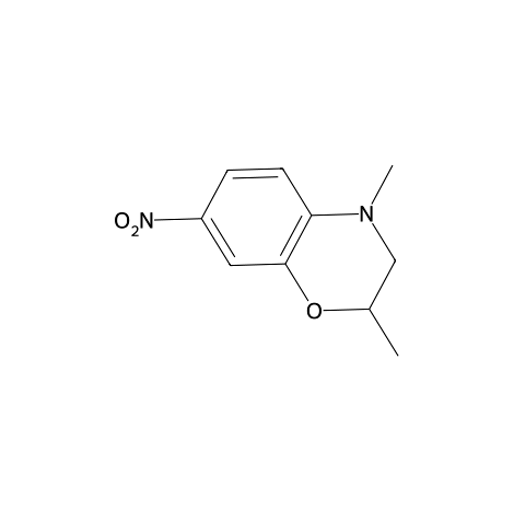 CC1CN(C)c2ccc([N+](=O)[O-])cc2O1